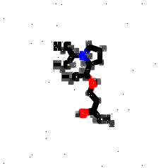 CC(=O)CCO[C@@H](C)[C@@H]1CCCN1C(C)C